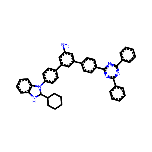 Nc1cc(-c2ccc(-c3nc(-c4ccccc4)nc(-c4ccccc4)n3)cc2)cc(-c2ccc(N3c4ccccc4NC3C3CCCCC3)cc2)c1